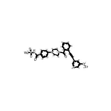 CCOc1cncc(C#Cc2ccccc2C(=O)N2CCN(c3ccc(C(=O)NS(=O)(=O)C(C)(C)C)cc3)CC2)c1